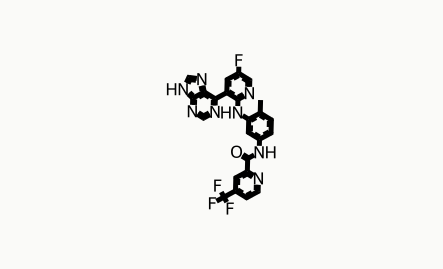 Cc1ccc(NC(=O)c2cc(C(F)(F)F)ccn2)cc1Nc1ncc(F)cc1-c1ncnc2[nH]cnc12